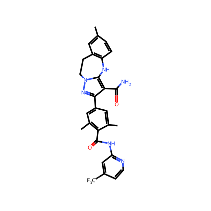 Cc1ccc2c(c1)CCn1nc(-c3cc(C)c(C(=O)Nc4cc(C(F)(F)F)ccn4)c(C)c3)c(C(N)=O)c1N2